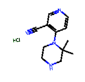 CC1(C)CNCCN1c1ccncc1C#N.Cl